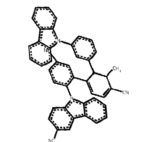 CC1C(C#N)=CC=C(c2cc(C#N)ccc2-n2c3ccccc3c3cc(C#N)ccc32)C1c1cccc(-n2c3ccccc3c3ccccc32)c1